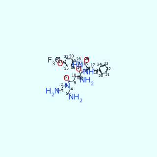 NCCN(CCN)C(=O)CC[C@H](N)C(=O)N[C@@H](CCc1ccccc1)C(=O)NCc1ccc(OC(F)(F)F)cc1